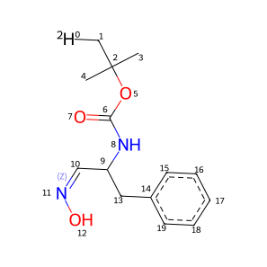 [2H]CC(C)(C)OC(=O)NC(/C=N\O)Cc1ccccc1